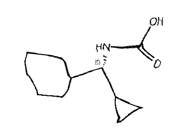 O=C(O)N[C@@H](C1CCCCC1)C1CC1